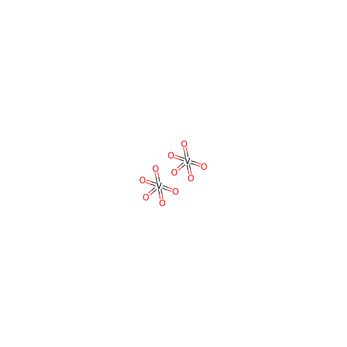 [O]=[V](=[O])(=[O])(=[O])=[O].[O]=[V](=[O])(=[O])(=[O])=[O]